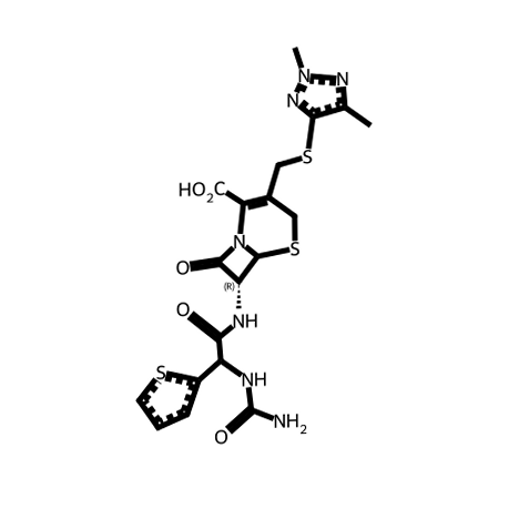 Cc1nn(C)nc1SCC1=C(C(=O)O)N2C(=O)[C@@H](NC(=O)C(NC(N)=O)c3cccs3)C2SC1